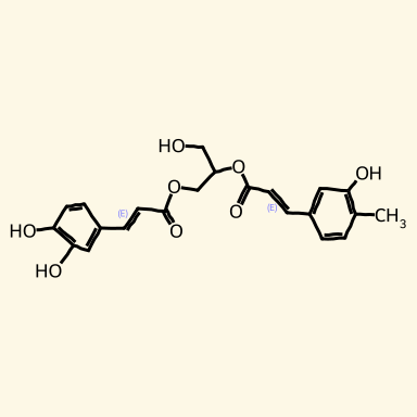 Cc1ccc(/C=C/C(=O)OC(CO)COC(=O)/C=C/c2ccc(O)c(O)c2)cc1O